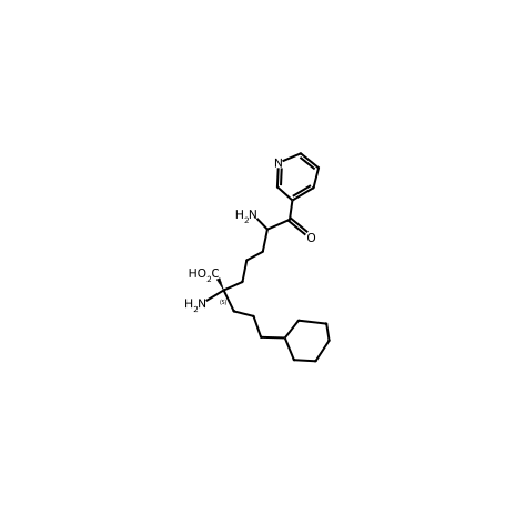 NC(CCC[C@@](N)(CCCC1CCCCC1)C(=O)O)C(=O)c1cccnc1